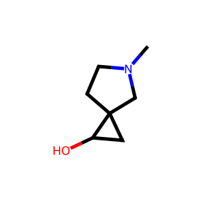 CN1CCC2(CC2O)C1